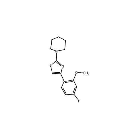 COc1cc(F)ccc1-c1csc(N2CCCCC2)n1